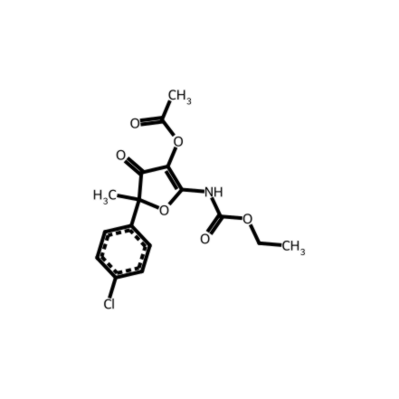 CCOC(=O)NC1=C(OC(C)=O)C(=O)C(C)(c2ccc(Cl)cc2)O1